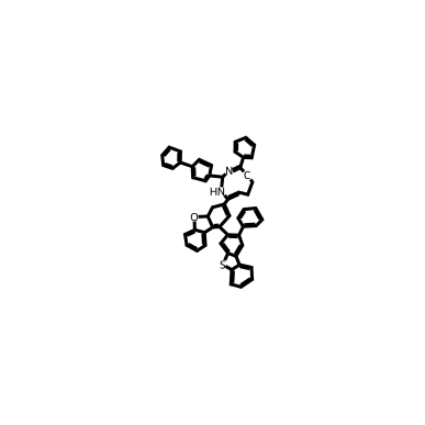 C1=C(/C2=C\CCC/C(c3ccccc3)=N\C(c3ccc(-c4ccccc4)cc3)N2)CC2Oc3ccccc3C2=C1c1cc2sc3ccccc3c2cc1-c1ccccc1